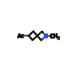 CC(=O)C1CC2(C1)CN(C)C2